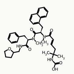 CN(C(=O)/C=C/CC(C)(C)NC(=O)O)[C@H](Cc1cccc2ccccc12)C(=O)N(C)[C@H](Cc1ccccc1)C(=O)NCC1CCCO1